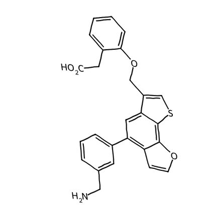 NCc1cccc(-c2cc3c(COc4ccccc4CC(=O)O)csc3c3occc23)c1